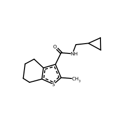 Cc1sc2c(c1C(=O)NCC1CC1)CCCC2